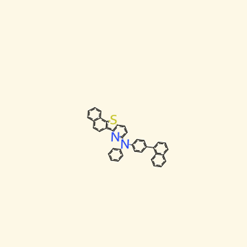 c1ccc(N(c2ccc(-c3cccc4ccccc34)cc2)c2ccc3sc4c5ccccc5ccc4c3n2)cc1